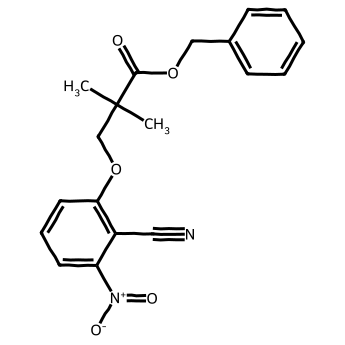 CC(C)(COc1cccc([N+](=O)[O-])c1C#N)C(=O)OCc1ccccc1